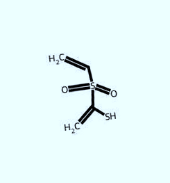 C=CS(=O)(=O)C(=C)S